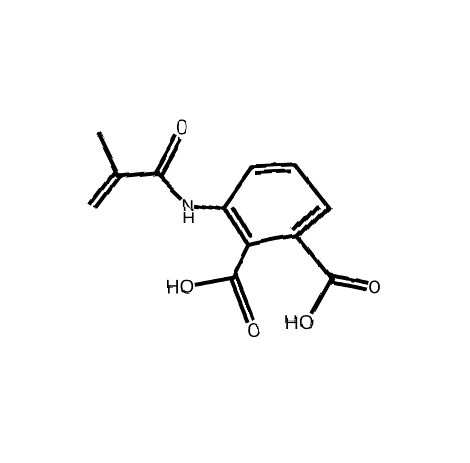 C=C(C)C(=O)Nc1cccc(C(=O)O)c1C(=O)O